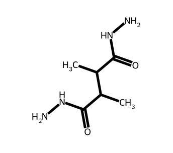 CC(C(=O)NN)C(C)C(=O)NN